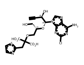 C#C[C@@H](O)[C@@H](O[C@@H](CO)COC(Cc1nccs1)(C(=O)O)C(=O)O)n1cnc2c(N)nc(Cl)nc21